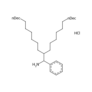 CCCCCCCCCCCCCCCCC(CCCCCCCCCCCCCCCC)C(N)c1ccccc1.Cl